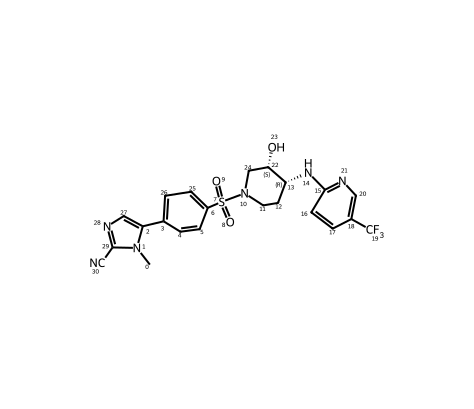 Cn1c(-c2ccc(S(=O)(=O)N3CC[C@@H](Nc4ccc(C(F)(F)F)cn4)[C@@H](O)C3)cc2)cnc1C#N